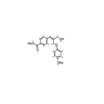 COC(=O)c1ccc(C=C(CO)COc2ccc(SC)cc2)cc1